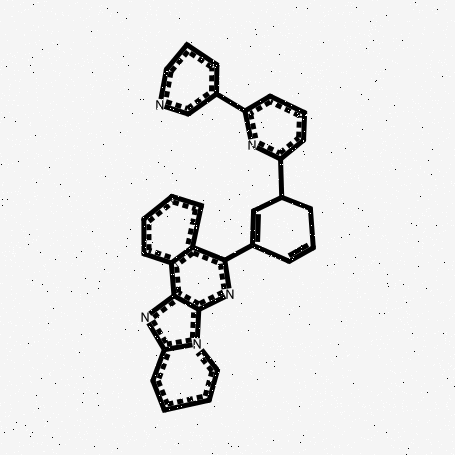 C1=CC(c2nc3c(nc4ccccn43)c3ccccc23)=CC(c2cccc(-c3cccnc3)n2)C1